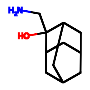 NCC1(O)C2CC3CC(C2)CC1C3